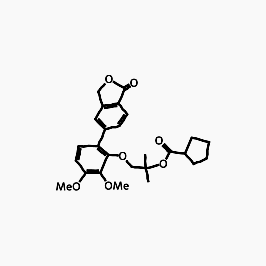 COc1ccc(-c2ccc3c(c2)COC3=O)c(OCC(C)(C)OC(=O)C2CCCC2)c1OC